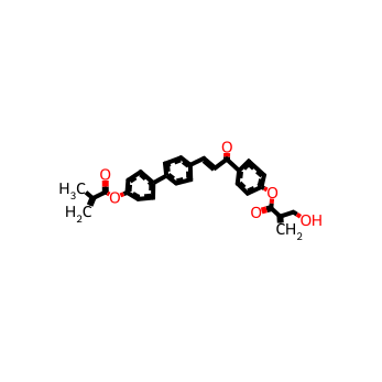 C=C(C)C(=O)Oc1ccc(-c2ccc(/C=C/C(=O)c3ccc(OC(=O)C(=C)CO)cc3)cc2)cc1